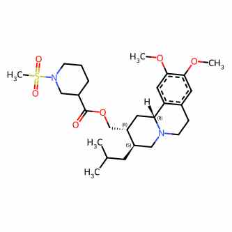 COc1cc2c(cc1OC)[C@H]1C[C@@H](COC(=O)C3CCCN(S(C)(=O)=O)C3)[C@H](CC(C)C)CN1CC2